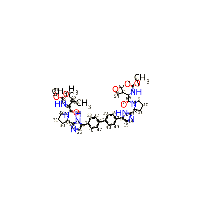 COC(=O)NC(C(=O)N1CCC[C@H]1c1ncc(-c2ccc(-c3ccc(-c4cnc([C@@H]5CCCN5C(=O)[C@@H](NC(=O)OC)C(C)C)[nH]4)cc3)cc2)[nH]1)C1COC1